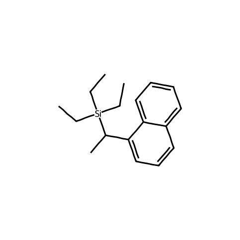 CC[Si](CC)(CC)C(C)c1cccc2ccccc12